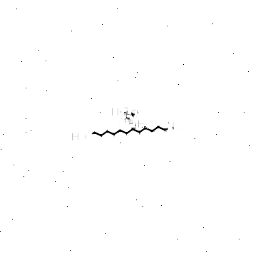 CCCCCCCCCCCC[CH2][Na].O=S(=O)(O)O